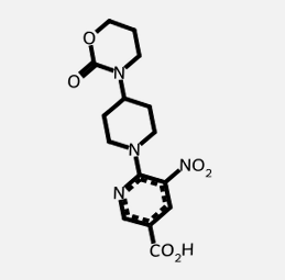 O=C(O)c1cnc(N2CCC(N3CCCOC3=O)CC2)c([N+](=O)[O-])c1